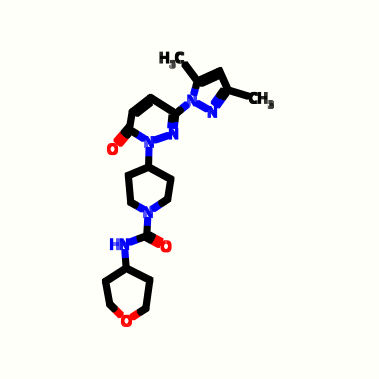 Cc1cc(C)n(-c2ccc(=O)n(C3CCN(C(=O)NC4CCOCC4)CC3)n2)n1